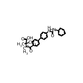 CN(C(=O)c1ccc(-c2ccc(NC(=O)Nc3ccccc3)cc2)cc1)C(C)(C)C(=O)O